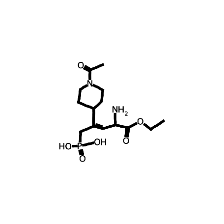 CCOC(=O)C(N)/C=C(/CP(=O)(O)O)C1CCN(C(C)=O)CC1